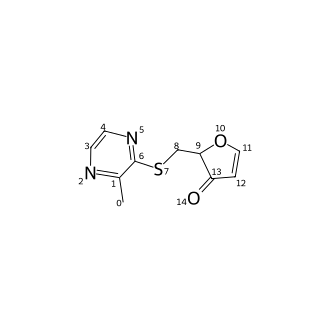 Cc1nccnc1SCC1OC=CC1=O